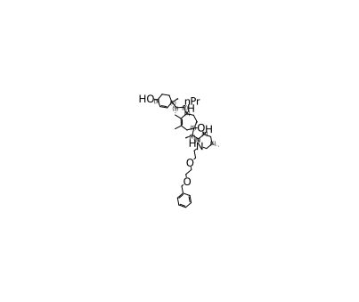 CCC[C@H]1[C@@H]2CC[C@@]3(CC(C)=C2C[C@@H]1[C@]1(C)C=C[C@@H](O)CC1)O[C@@H]1C[C@H](C)CN(CCOCCOCc2ccccc2)[C@H]1[C@H]3C